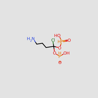 NCCCC(Cl)(O[PH](=O)O)O[PH](=O)O